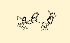 C[C@@H](COc1ccnc(N)c1)CC1Cc2ccccc2C12CCC(Nc1cccc(Cl)c1)(C(=O)O)CC2